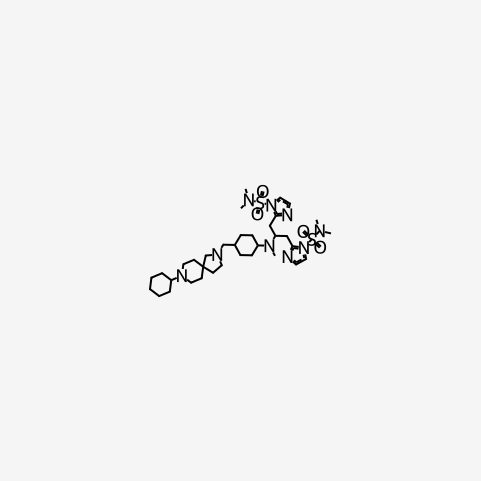 CN(C1CCC(CN2CCC3(CCN(C4CCCCC4)CC3)C2)CC1)C(Cc1nccn1S(=O)(=O)N(C)C)Cc1nccn1S(=O)(=O)N(C)C